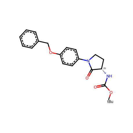 CC(C)(C)OC(=O)N[C@H]1CCN(c2ccc(OCc3ccccc3)cc2)C1=O